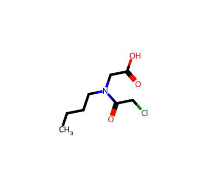 CCCCN(CC(=O)O)C(=O)CCl